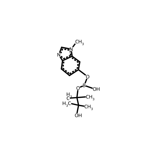 Cn1cnc2ccc(OB(O)OC(C)(C)C(C)(C)O)cc21